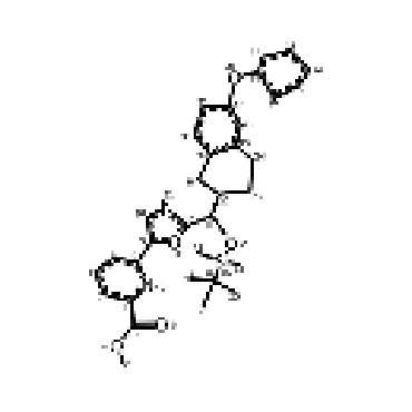 COC(=O)c1cccc(-c2cnc(C(O[Si](C)(C)C(C)(C)C)C3CCc4cc(Oc5ccccc5)ccc4C3)o2)n1